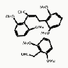 COc1cccc(OC)c1CC=C(C=O)c1c(OC)cccc1OC.COc1cccc(OC)c1CC=O